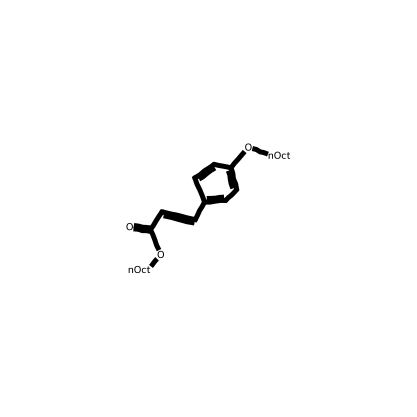 CCCCCCCCOC(=O)C=Cc1ccc(OCCCCCCCC)cc1